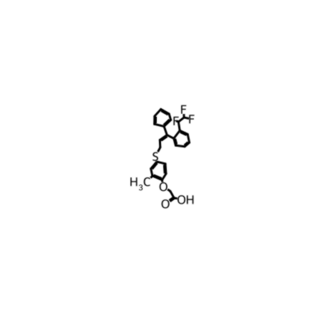 Cc1cc(SCC=C(c2ccccc2)c2ccccc2C(F)C(F)F)ccc1OCC(=O)O